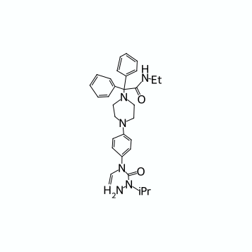 C=CN(C(=O)N(N)C(C)C)c1ccc(N2CCN(C(C(=O)NCC)(c3ccccc3)c3ccccc3)CC2)cc1